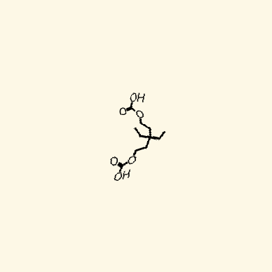 CCC(CC)(CCOC(=O)O)CCOC(=O)O